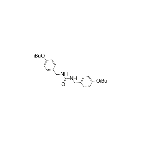 CC(C)COc1ccc(CNC(=O)NCc2ccc(OCC(C)C)cc2)cc1